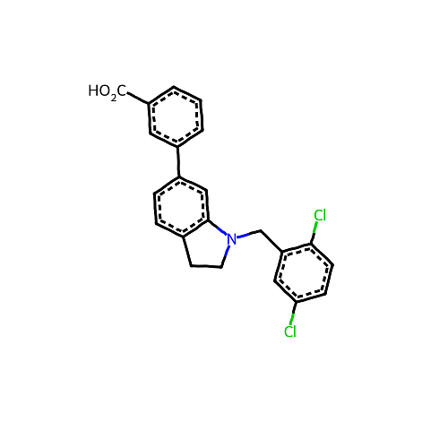 O=C(O)c1cccc(-c2ccc3c(c2)N(Cc2cc(Cl)ccc2Cl)CC3)c1